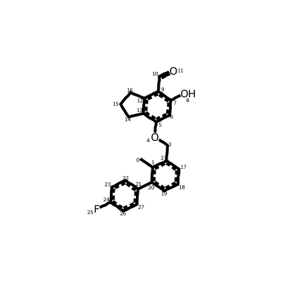 Cc1c(COc2cc(O)c(C=O)c3c2CCC3)cccc1-c1ccc(F)cc1